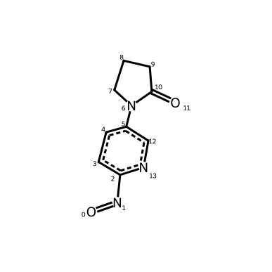 O=Nc1ccc(N2CCCC2=O)cn1